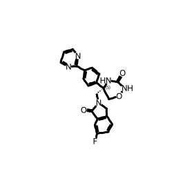 O=C1NOC[C@@](CN2Cc3ccc(F)cc3C2=O)(c2ccc(-c3ncccn3)cc2)N1